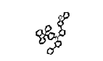 c1ccc(-c2cccc(N(c3ccc(C4(c5ccccc5)c5ccccc5-c5ccccc54)cc3)c3cccc(-c4ccc5oc6ccccc6c5c4)c3)c2)cc1